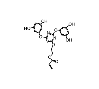 C=CC(=O)OCCOc1nc(Oc2cc(O)cc(O)c2)nc(Oc2cc(O)cc(O)c2)n1